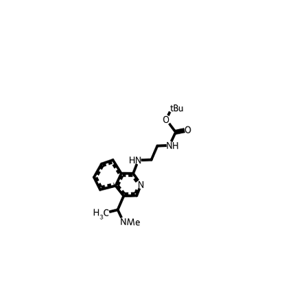 CNC(C)c1cnc(NCCNC(=O)OC(C)(C)C)c2ccccc12